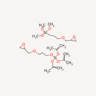 C=C(C)O[Si](OCCCOCC1CO1)(OC(=C)C)OC(=C)C.CO[Si](CCCOCC1CO1)(OC)OC